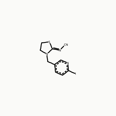 N#CN=C1SCCN1Cc1ccc(I)nc1